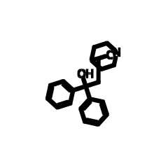 OC(CC1CN2CCC1CC2)(c1ccccc1)c1ccccc1